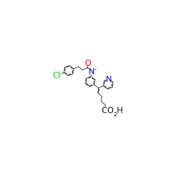 CN(C(=O)CCc1ccc(Cl)cc1)c1cccc(/C(=C/CCCC(=O)O)c2cccnc2)c1